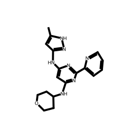 Cc1cc(Nc2cc(NC3CCOCC3)nc(-c3ccccn3)n2)n[nH]1